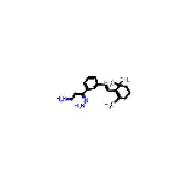 CC1=C(C=Cc2cccc(C(CCN)=NN)c2)C(C)(C)CCC1